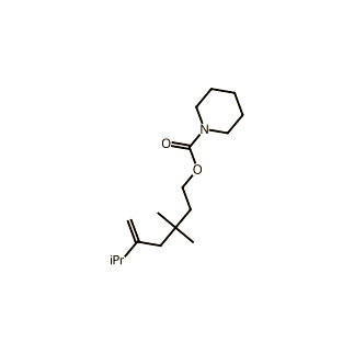 C=C(CC(C)(C)CCOC(=O)N1CCCCC1)C(C)C